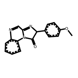 COc1ccc(C2N=C3C=Nc4ccccc4N3C2=O)cc1